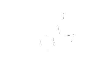 CCCC[S+]([O-])NC(c1cc(F)c(C(F)(F)F)cc1F)C1CC1